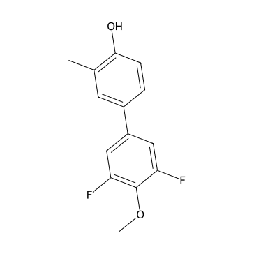 COc1c(F)cc(-c2ccc(O)c(C)c2)cc1F